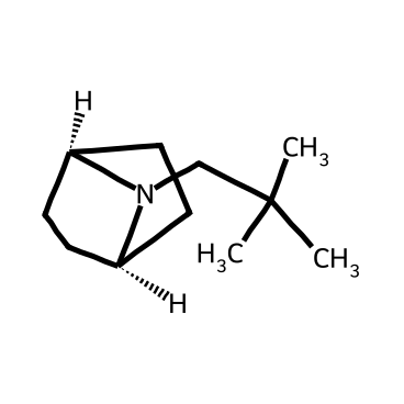 CC(C)(C)CN1[C@H]2CC[C@@H]1CC2